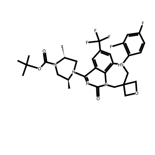 C[C@@H]1CN(c2nc(=O)n3c4c(cc(C(F)(F)F)cc24)[SH](c2ccc(F)cc2F)CC2(COC2)C3)[C@@H](C)CN1C(=O)OC(C)(C)C